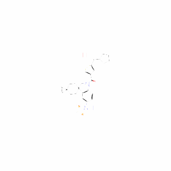 CS(=O)(=O)Nc1ccc2c(c1)C1(CCC3(CC3)CC1)CN2C(=O)c1csc(C(O)C2CCCC2)c1